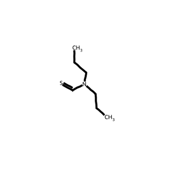 CCCN([C]=S)CCC